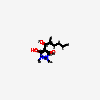 CCCCC(C)C(=O)c1c(O)n(C)n(C)c1=O